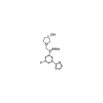 CN[C@H](CN1CC[C@H](O)C1)c1cc(F)cc(-c2nccs2)c1